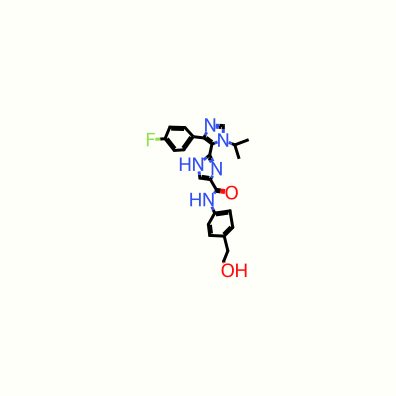 CC(C)n1cnc(-c2ccc(F)cc2)c1-c1nc(C(=O)Nc2ccc(CCO)cc2)c[nH]1